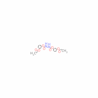 C=CC(=O)Oc1cccc(OC(=O)NCNC(=O)Oc2cccc(OC(=O)C=C)c2)c1